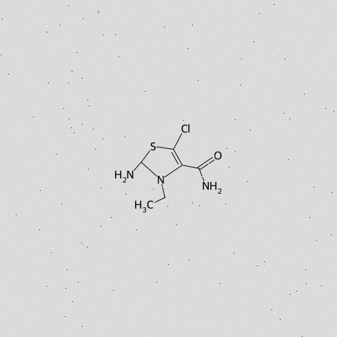 CCN1C(C(N)=O)=C(Cl)SC1N